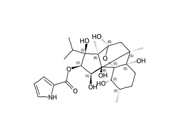 CC(C)[C@@]1(O)[C@H](OC(=O)c2ccc[nH]2)[C@@]2(O)[C@@]3(C)C[C@@]4(O)O[C@]5([C@@H](O)[C@@H](C)CC[C@]35O)[C@@]2(O)[C@]41C